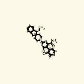 C=C[C@@H]1c2ccccc2CC12CCN(c1nc(C)c(-c3ccnc(F)c3Cl)c(C(N)=O)n1)CC2